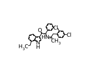 CCc1cccc2c(C(=O)[C@@H](N[C@H](C)Cc3ccc(Cl)cc3Cl)c3ccccc3)c[nH]c12